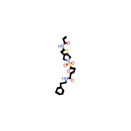 C=CC(=O)Nc1cc2c(s1)CN(S(=O)(=O)c1ccc(C(=O)NCCc3ccccc3)o1)C2